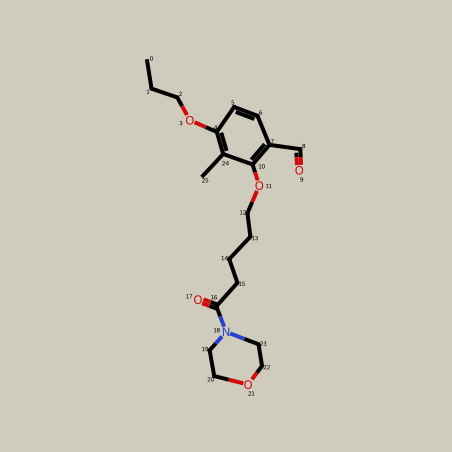 CCCOc1ccc(C=O)c(OCCCCC(=O)N2CCOCC2)c1C